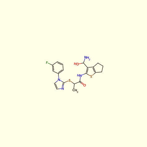 CC(Sc1nccn1-c1cccc(F)c1)C(=O)Nc1sc2c(c1C(N)O)CCC2